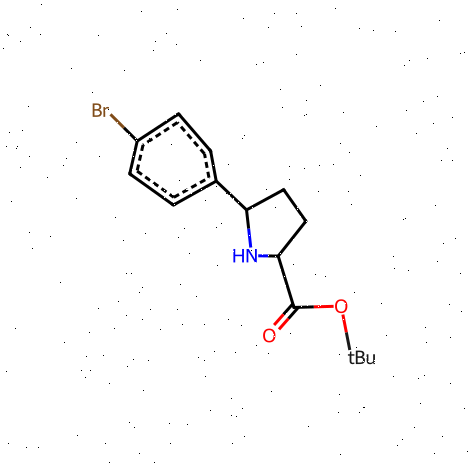 CC(C)(C)OC(=O)C1CCC(c2ccc(Br)cc2)N1